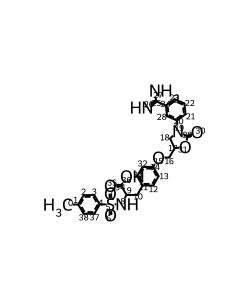 Cc1ccc(S(=O)(=O)NC(Cc2ccc(OCC3CN(c4cccc(C(=N)N)c4)C(=O)O3)cc2)C(=O)O)cc1